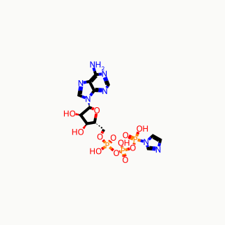 Nc1ncnc2c1ncn2[C@@H]1O[C@H](COP(=O)(O)OP(=O)(O)OP(=O)(O)n2ccnc2)[C@@H](O)[C@H]1O